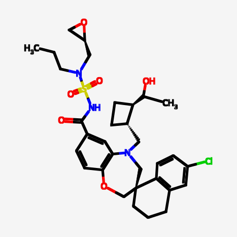 CCCN(C[C@H]1CO1)S(=O)(=O)NC(=O)c1ccc2c(c1)N(C[C@@H]1CC[C@H]1C(C)O)C[C@@]1(CCCc3cc(Cl)ccc31)CO2